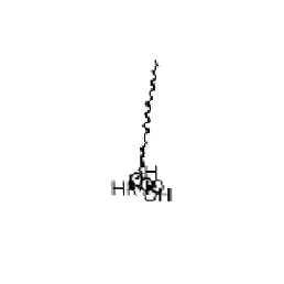 CCCCCCCCC=CCCCCCCCCCCCCOC(C)(O[PH](=O)O)[PH](C)(C)C